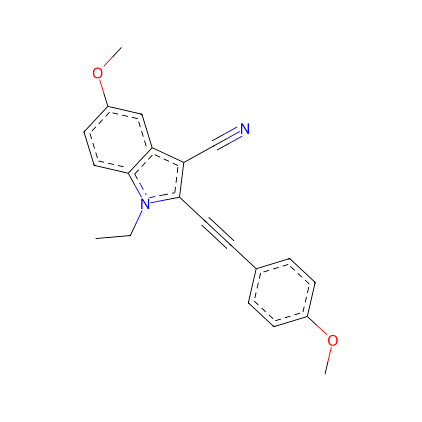 CCn1c(C#Cc2ccc(OC)cc2)c(C#N)c2cc(OC)ccc21